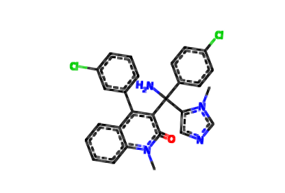 Cn1cncc1C(N)(c1ccc(Cl)cc1)c1c(-c2cccc(Cl)c2)c2ccccc2n(C)c1=O